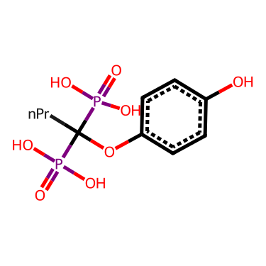 CCCC(Oc1ccc(O)cc1)(P(=O)(O)O)P(=O)(O)O